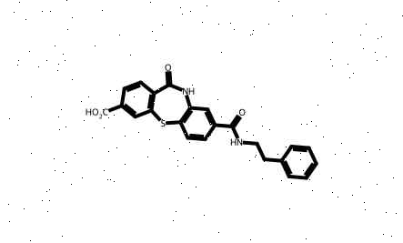 O=C(O)c1ccc2c(c1)Sc1ccc(C(=O)NCCc3ccccc3)cc1NC2=O